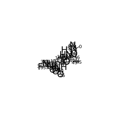 CCn1nccc1C(=O)N[C@H](C(=O)Nc1ccc([C@H](C)[C@@H](NC(=O)COC)C(=O)N2CCN(C)[C@@H](CF)C2)cc1F)[C@H]1CC[C@H](C)CC1